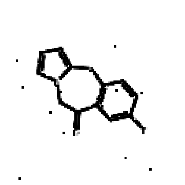 O=C1Cn2cccc2Sc2ccc(F)cc21